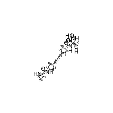 C[C@H](O)[C@H](NC(=O)c1ccc(C#CC#Cc2ccc(NC(=O)C3CCCN3)cc2)cc1)C(=O)NO